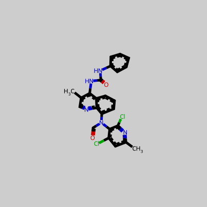 Cc1cc(Cl)c(N(C=O)c2cccc3c(NC(=O)Nc4ccccc4)c(C)cnc23)c(Cl)n1